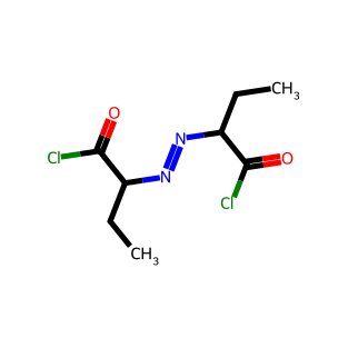 CCC(N=NC(CC)C(=O)Cl)C(=O)Cl